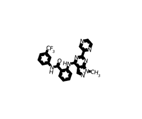 Cn1ncc2c(Nc3ccccc3C(=O)Nc3cccc(C(F)(F)F)c3)nc(-c3cnccn3)nc21